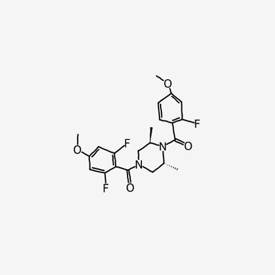 COc1ccc(C(=O)N2[C@H](C)CN(C(=O)c3c(F)cc(OC)cc3F)C[C@H]2C)c(F)c1